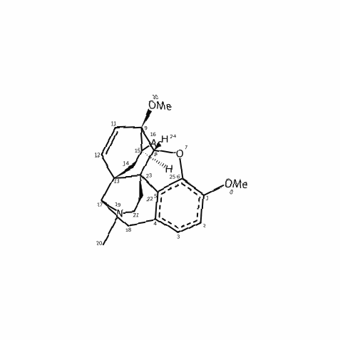 COc1ccc2c3c1O[C@H]1[C@@]4(OC)C=C[C@@]5(C[C@@H]4C(C)=O)C(C2)N(C)CC[C@]315